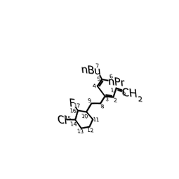 C=C/C=C(\C=C(/CCC)CCCC)CCC1CCCC(Cl)C1F